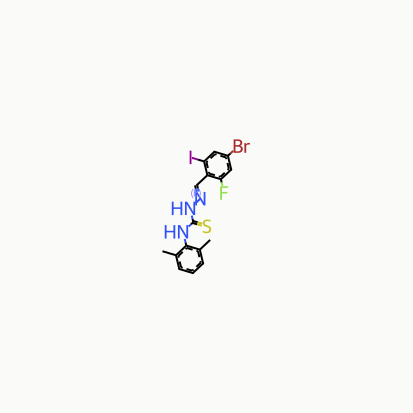 Cc1cccc(C)c1NC(=S)N/N=C/c1c(F)cc(Br)cc1I